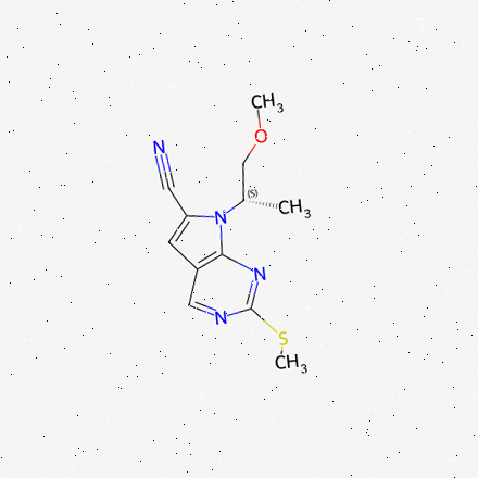 COC[C@H](C)n1c(C#N)cc2cnc(SC)nc21